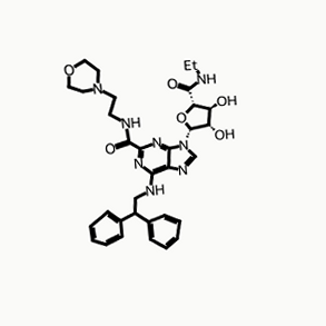 CCNC(=O)[C@H]1O[C@@H](n2cnc3c(NCC(c4ccccc4)c4ccccc4)nc(C(=O)NCCN4CCOCC4)nc32)[C@@H](O)[C@@H]1O